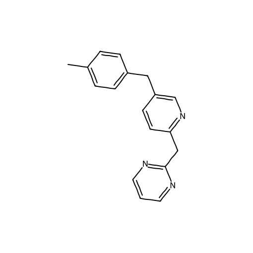 Cc1ccc(Cc2ccc(Cc3ncccn3)nc2)cc1